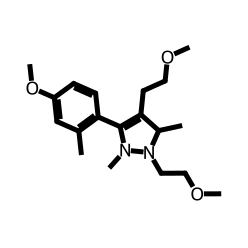 COCCC1=C(c2ccc(OC)cc2C)N(C)N(CCOC)C1C